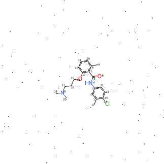 Cc1cc(NC(=O)c2c(C)cccc2OCCCN(C)C)ccc1Cl